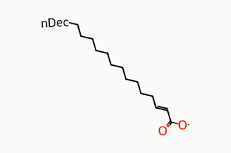 CCCCCCCCCCCCCCCCCCCCCC=CC([O])=O